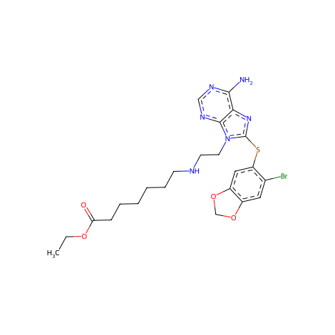 CCOC(=O)CCCCCCNCCn1c(Sc2cc3c(cc2Br)OCO3)nc2c(N)ncnc21